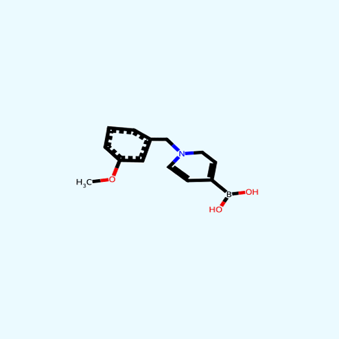 COc1cccc(CN2C=CC(B(O)O)=CC2)c1